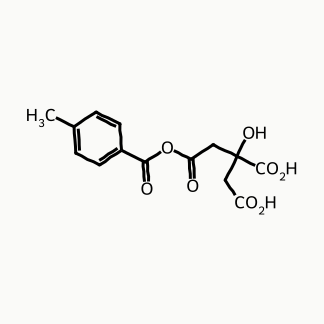 Cc1ccc(C(=O)OC(=O)CC(O)(CC(=O)O)C(=O)O)cc1